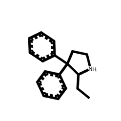 CCC1NCCC1(c1ccccc1)c1ccccc1